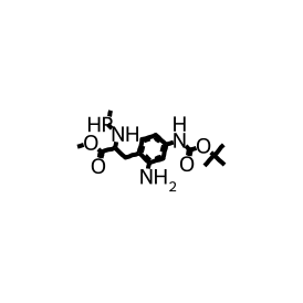 COC(=O)C(Cc1ccc(NC(=O)OC(C)(C)C)cc1N)NPC